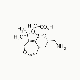 CC(=O)O.CC1(C)OB2OC(CN)C=C3C=COCC1=C23